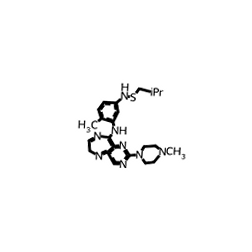 Cc1ccc(NSCC(C)C)cc1NC1=c2nc(N3CCN(C)CC3)ncc2=NCC=N1